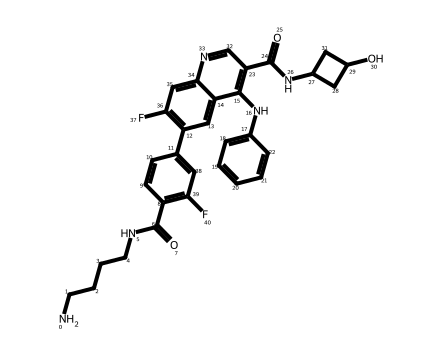 NCCCCNC(=O)c1ccc(-c2cc3c(Nc4ccccc4)c(C(=O)NC4CC(O)C4)cnc3cc2F)cc1F